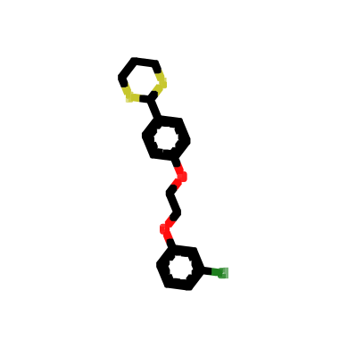 Clc1cccc(OCCOc2ccc(C3SCCCS3)cc2)c1